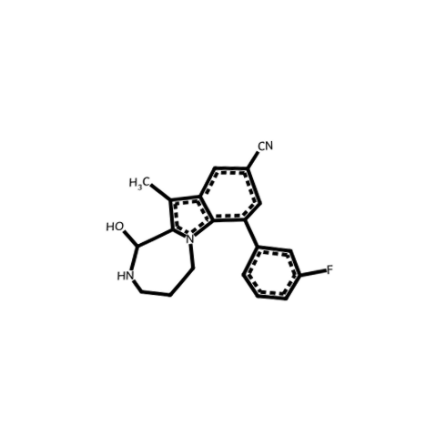 Cc1c2n(c3c(-c4cccc(F)c4)cc(C#N)cc13)CCCNC2O